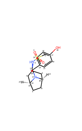 CS(=O)(=O)N[C@H]1C[C@H]2CC[C@@H](C1)N2Cc1ccc(O)cc1